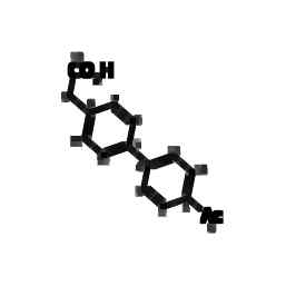 CC(=O)c1ccc(-c2ccc(CC(=O)O)cc2)cc1